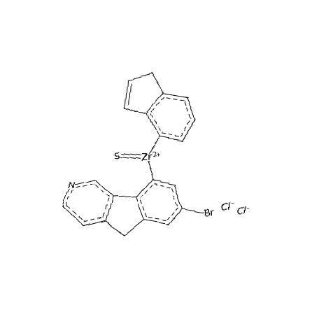 [Cl-].[Cl-].[S]=[Zr+2]([c]1cccc2c1C=CC2)[c]1cc(Br)cc2c1-c1cnccc1C2